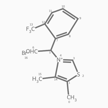 Cc1sc[n+](C(C=O)c2ccccc2C(F)(F)F)c1C.[Br-]